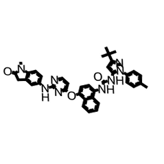 Cc1ccc(-n2nc(C(C)(C)C)cc2NC(=O)Nc2ccc(Oc3ccnc(Nc4ccc5c(c4)CC(=O)N5C)n3)c3ccccc23)cc1